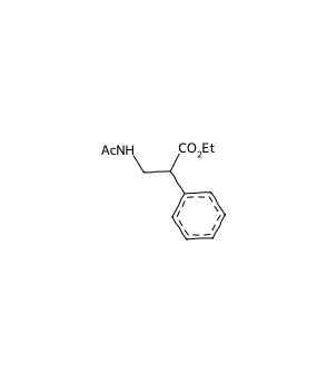 CCOC(=O)C(CNC(C)=O)c1ccccc1